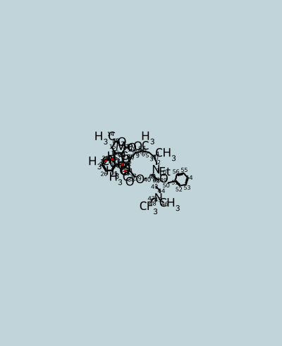 CCN1C[C@H](C)C[C@@](C)(OC)[C@H](O[C@@H]2O[C@H](C)C[C@H](N(C)C)[C@H]2OC(=O)c2ccccc2)[C@@H](C)C(=O)C(C)(C)C(=O)OC[C@H]1[C@@H](CCN(C)CC(F)(F)F)OCc1ccccc1